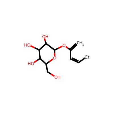 C=C(/C=C\CC)OC1OC(CO)C(O)C(O)C1O